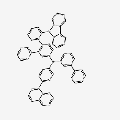 c1ccc(-c2cccc(N(c3ccc(-c4cccc5ccccc45)cc3)c3ccc(-c4ccccc4-n4c5ccccc5c5ccccc54)c(-c4ccccc4)c3)c2)cc1